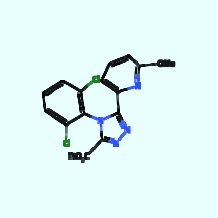 CCOC(=O)c1nnc(-c2cccc(OC)n2)n1-c1c(Cl)cccc1Cl